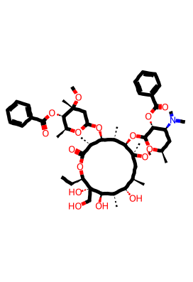 CC[C@H]1OC(=O)[C@H](C)[C@@H](OC2C[C@@](C)(OC)[C@@H](OC(=O)c3ccccc3)[C@H](C)O2)[C@H](C)[C@@H](OC2O[C@H](C)C[C@H](N(C)C)[C@H]2OC(=O)c2ccccc2)[C@@](C)(OC)C[C@@H](C)[C@H](O)[C@H](C)[C@@H](O)[C@@]1(O)CO